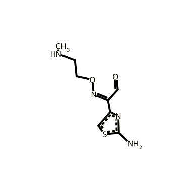 CNCCON=C([C]=O)c1csc(N)n1